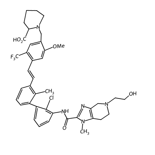 COc1cc(/C=C/c2cccc(-c3cccc(NC(=O)c4nc5c(n4C)CCN(CCO)C5)c3Cl)c2C)c(C(F)(F)F)cc1CN1CCCCC1C(=O)O